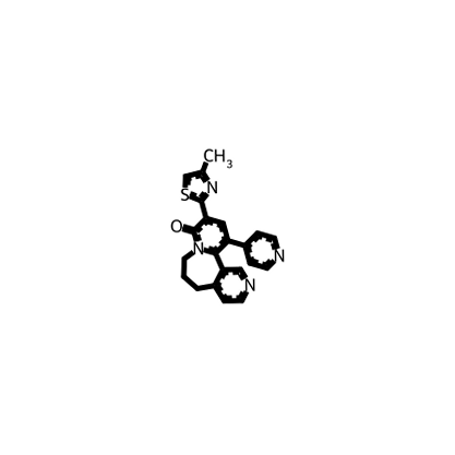 Cc1csc(-c2cc(-c3ccncc3)c3n(c2=O)CCCc2ccncc2-3)n1